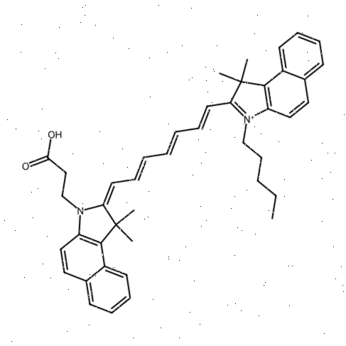 CCCCC[N+]1=C(/C=C/C=C/C=C/C=C2/N(CCC(=O)O)c3ccc4ccccc4c3C2(C)C)C(C)(C)c2c1ccc1ccccc21